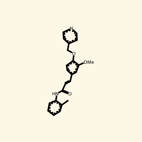 COc1cc(/C=C/C(=O)Nc2ccccc2C)ccc1OCc1ccncc1